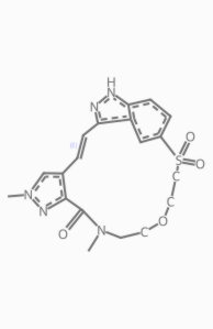 CN1CCOCCS(=O)(=O)c2ccc3[nH]nc(c3c2)/C=C/c2cn(C)nc2C1=O